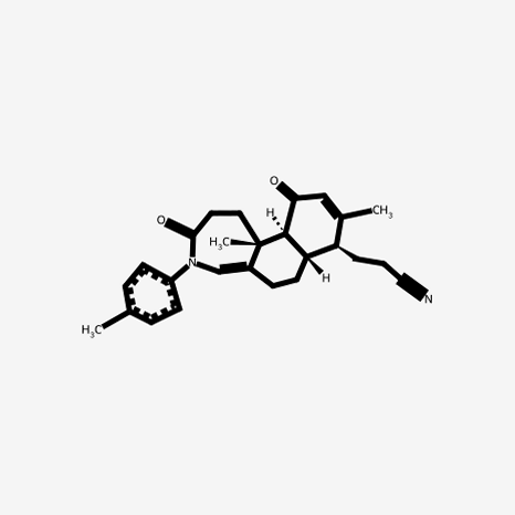 CC1=CC(=O)[C@H]2[C@@H](CCC3=CN(c4ccc(C)cc4)C(=O)CC[C@@]32C)[C@@H]1CCC#N